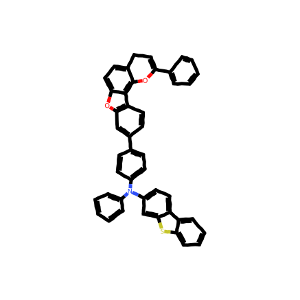 C1=C(c2ccccc2)Oc2c(ccc3oc4cc(-c5ccc(N(c6ccccc6)c6ccc7c(c6)sc6ccccc67)cc5)ccc4c23)C1